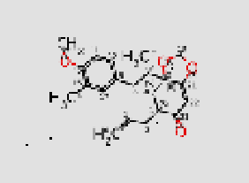 C=CC[C@H]1C[C@]2([C@@H](C)Cc3ccc(OC)c(C)c3)OCOC2=CC1=O